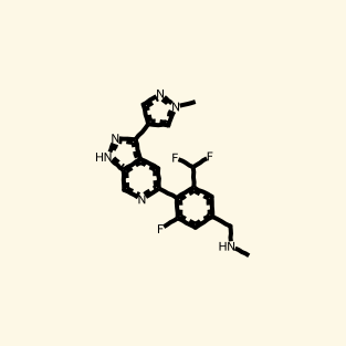 CNCc1cc(F)c(-c2cc3c(-c4cnn(C)c4)n[nH]c3cn2)c(C(F)F)c1